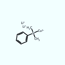 C[Si](C)([Cu-2])c1ccccc1.[Li+].[Li+]